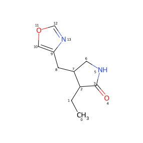 CCC1C(=O)NCC1Cc1cocn1